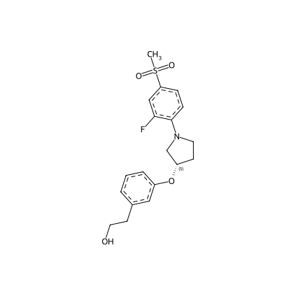 CS(=O)(=O)c1ccc(N2CC[C@H](Oc3cccc(CCO)c3)C2)c(F)c1